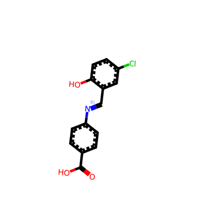 O=C(O)c1ccc(/N=C/c2cc(Cl)ccc2O)cc1